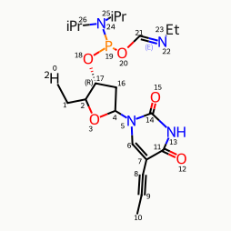 [2H]CC1OC(n2cc(C#CC)c(=O)[nH]c2=O)C[C@H]1OP(O/C=N/CC)N(C(C)C)C(C)C